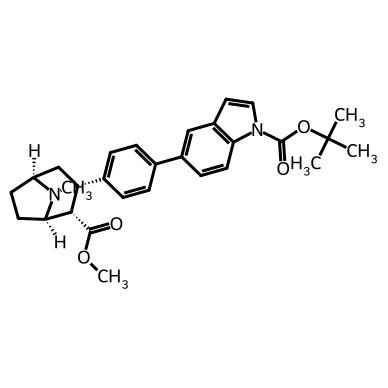 COC(=O)[C@H]1[C@@H](c2ccc(-c3ccc4c(ccn4C(=O)OC(C)(C)C)c3)cc2)C[C@@H]2CC[C@H]1N2C